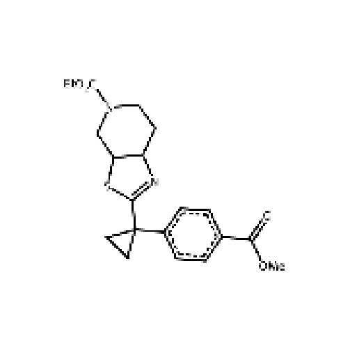 CCOC(=O)N1CCC2N=C(C3(c4ccc(C(=O)OC)cc4)CC3)SC2C1